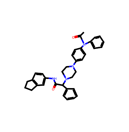 CC(=O)N(c1ccccc1)c1ccc(N2CCN(C(C(=O)Nc3ccc4c(c3)CCC4)c3ccccc3)CC2)cc1